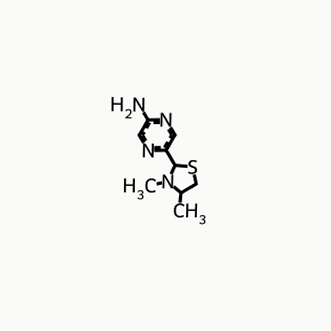 CC1CSC(c2cnc(N)cn2)N1C